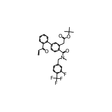 C=CC(=O)c1ccccc1-c1ccc(C(=O)N(C)Cc2ccc(C(F)(F)F)c(F)c2)c(CC(=O)OC(C)(C)C)c1